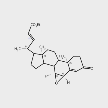 CCOC(=O)/C=C/[C@@H](C)C1CCC2C3C(CC[C@@]21C)[C@@]1(C)CCC(=O)C=C1[C@H]1O[C@@H]31